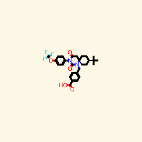 CC(C)(C)[C@H]1CC[C@]2(CC1)CC(=O)N(c1ccc(OC(F)(F)F)cc1)C(=O)N2Cc1ccc(C(=O)O)cc1